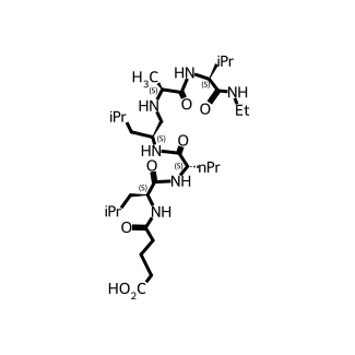 CCC[C@H](NC(=O)[C@H](CC(C)C)NC(=O)CCCC(=O)O)C(=O)N[C@H](CN[C@@H](C)C(=O)N[C@H](C(=O)NCC)C(C)C)CC(C)C